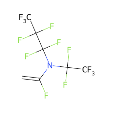 C=C(F)N(C(F)(F)C(F)(F)F)C(F)(F)C(F)(F)C(F)(F)F